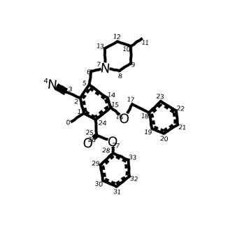 Cc1c(C#N)c(CN2CCC(C)CC2)cc(OCc2ccccc2)c1C(=O)Oc1ccccc1